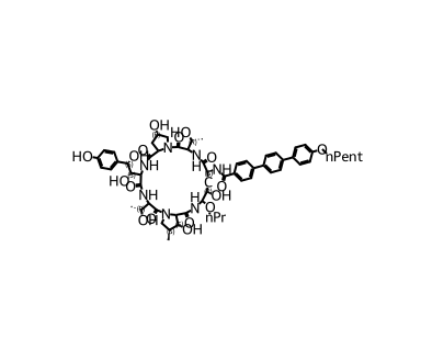 CCCCCOc1ccc(-c2ccc(-c3ccc(C(=O)N[C@H]4C[C@@H](O)C(OCCC)NC(=O)C5[C@@H](O)[C@@H](C)CN5C(=O)C([C@@H](C)O)NC(=O)C([C@H](O)[C@@H](O)c5ccc(O)cc5)NC(=O)C5C[C@@H](O)CN5C(=O)C([C@@H](C)O)NC4=O)cc3)cc2)cc1